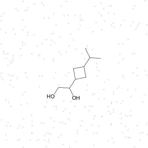 CC(C)C1CC(C(O)CO)C1